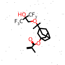 C=C(C)C(=O)OC12CC3CC(C(C)(C)OCC(O)(C(F)(F)F)C(F)(F)F)(CC3C1)C2